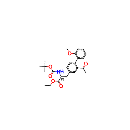 CCOC(=O)[C@H](Cc1ccc(-c2ccccc2OC)c(C(C)=O)c1)NC(=O)OC(C)(C)C